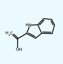 C=C(O)c1cc2ccccc2[nH]1